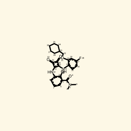 CN(C)C(=O)c1cccc(Nc2c(Nc3ccc(F)cc3OCC3CCCCC3)c(=O)c2=O)c1O